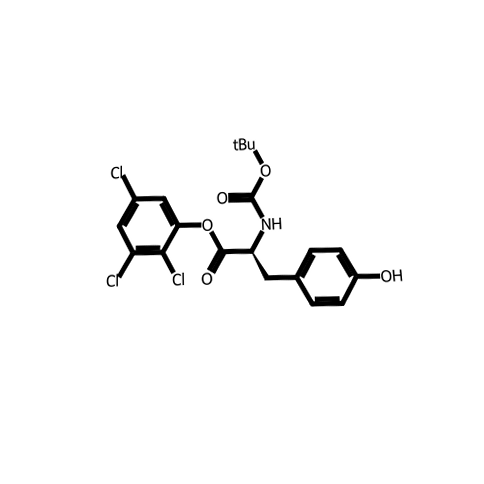 CC(C)(C)OC(=O)N[C@@H](Cc1ccc(O)cc1)C(=O)Oc1cc(Cl)cc(Cl)c1Cl